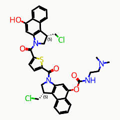 CN(C)CCNC(=O)Oc1cc2c(c3ccccc13)[C@H](CCl)CN2C(=O)c1ccc(C(=O)N2C[C@@H](CCl)c3c2cc(O)c2ccccc32)s1